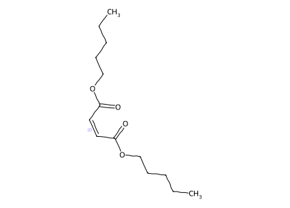 CCCCCOC(=O)/C=C\C(=O)OCCCCC